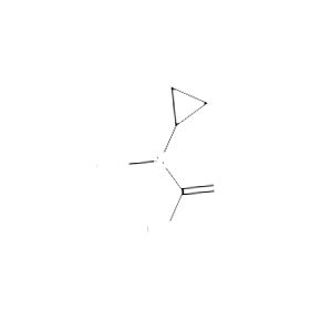 CCCCC(=O)N(C=O)C1CC1